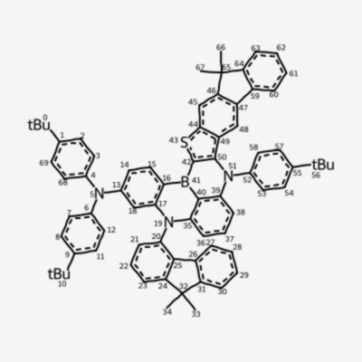 CC(C)(C)c1ccc(N(c2ccc(C(C)(C)C)cc2)c2ccc3c(c2)N(c2cccc4c2-c2ccccc2C4(C)C)c2cccc4c2B3c2sc3cc5c(cc3c2N4c2ccc(C(C)(C)C)cc2)-c2ccccc2C5(C)C)cc1